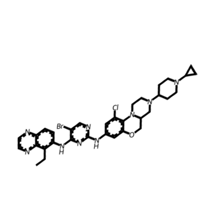 CCc1c(Nc2nc(Nc3cc(Cl)c4c(c3)OCC3CN(C5CCN(C6CC6)CC5)CCN43)ncc2Br)ccc2nccnc12